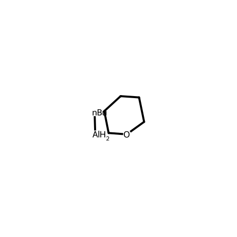 C1CCOCC1.CCC[CH2][AlH2]